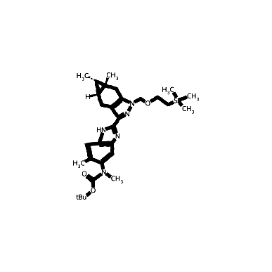 Cc1cc2[nH]c(-c3nn(COCC[Si](C)(C)C)c4c3C[C@@H]3[C@H](C)[C@]3(C)C4)nc2cc1N(C)C(=O)OC(C)(C)C